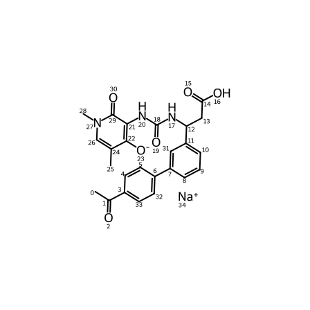 CC(=O)c1ccc(-c2cccc(C(CC(=O)O)NC(=O)Nc3c([O-])c(C)cn(C)c3=O)c2)cc1.[Na+]